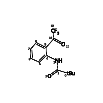 CC(C)(C)C(=O)Nc1ccccc1C(=O)C(F)(F)F